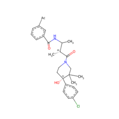 CC(=O)c1cccc(C(=O)NC(C)[C@@H](C)C(=O)N2CC[C@](O)(c3ccc(Cl)cc3)C(C)(C)C2)c1